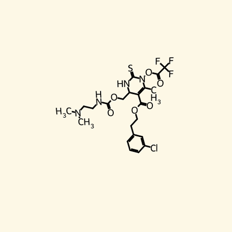 CC1=C(C(=O)OCCc2cccc(Cl)c2)C(COC(=O)NCCN(C)C)NC(=S)N1OC(=O)C(F)(F)F